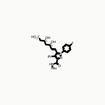 CCCCNC(=O)c1nn(-c2ccc(F)cc2)c(/C=C/[C@@H](O)C[C@@H](O)CC(=O)O)c1C(C)C